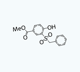 COC(=O)c1ccc(O)c(S(=O)(=O)Cc2ccccc2)c1